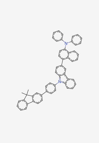 CC1(C)c2ccccc2-c2ccc(-c3ccc(-n4c5ccccc5c5cc(-c6ccc(N(c7ccccc7)c7ccccc7)c7ccccc67)ccc54)cc3)cc21